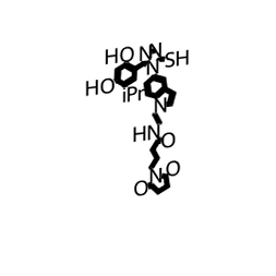 CC(C)c1cc(-c2nnc(S)n2-c2ccc3c(ccn3CCNC(=O)CCCN3C(=O)CCC3=O)c2)c(O)cc1O